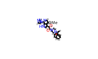 C=C(N1CCN(C(=O)C(=O)c2c[nH]c3c(-n4ccnn4)ncc(OC)c23)CC1)C12CC3CC(CC(C3)C1)C2